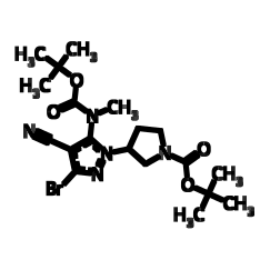 CN(C(=O)OC(C)(C)C)c1c(C#N)c(Br)nn1C1CCN(C(=O)OC(C)(C)C)C1